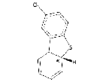 Clc1ccc2c(c1)C1C=CC=C[C@H]1S2